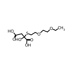 CCOCCOCCSC(O)(CC(=O)O)C(=O)O